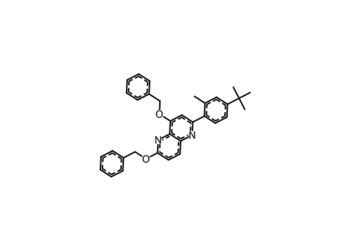 Cc1cc(C(C)(C)C)ccc1-c1cc(OCc2ccccc2)c2nc(OCc3ccccc3)ccc2n1